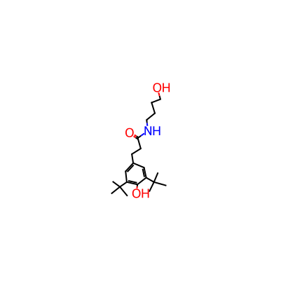 CC(C)(C)c1cc(CCC(=O)NCCCCO)cc(C(C)(C)C)c1O